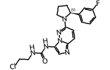 O=C(NCCCl)Nc1cnc2ccc(N3CCC[C@H]3c3cccc(F)c3)nn12